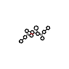 c1ccc(-c2ccc(N(c3ccccc3)c3ccccc3-c3ccc(-c4ccc(N(c5ccccc5)c5ccc(-c6ccccc6)cc5)cc4C4=CC=CC=CC4)cc3)cc2)cc#1